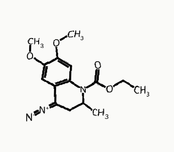 CCOC(=O)N1c2cc(OC)c(OC)cc2C(=[N+]=[N-])CC1C